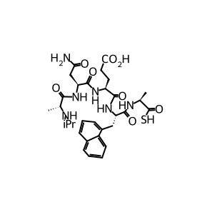 CC(C)N[C@H](C)C(=O)N[C@@H](CC(N)=O)C(=O)N[C@@H](CCC(=O)O)C(=O)N[C@@H](Cc1cccc2ccccc12)C(=O)N[C@@H](C)C(=O)S